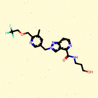 Cc1cc(Cn2cc3c(C(=O)NCCCO)nccc3n2)cnc1COCC(F)(F)F